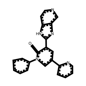 O=c1c(-c2nc3cnccc3[nH]2)cc(-c2ccccn2)cn1-c1ccccc1